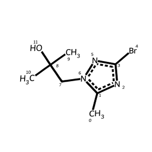 Cc1nc(Br)nn1CC(C)(C)O